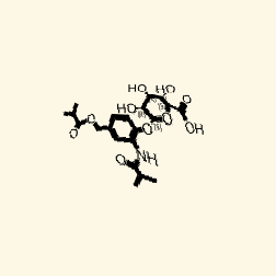 CC(C)C(=O)Nc1cc(COC(=O)C(C)C)ccc1O[C@@H]1O[C@H](C(=O)O)[C@@H](O)[C@H](O)[C@H]1O